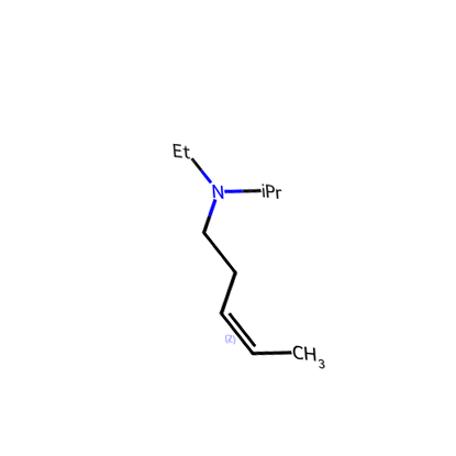 C/C=C\CCN(CC)C(C)C